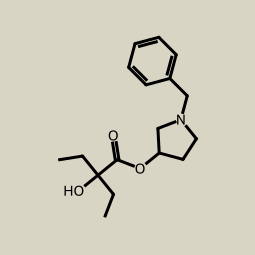 CCC(O)(CC)C(=O)OC1CCN(Cc2ccccc2)C1